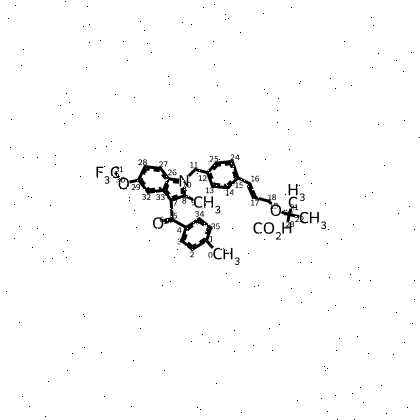 Cc1ccc(C(=O)c2c(C)n(Cc3ccc(C=CCOC(C)(C)C(=O)O)cc3)c3ccc(OC(F)(F)F)cc23)cc1